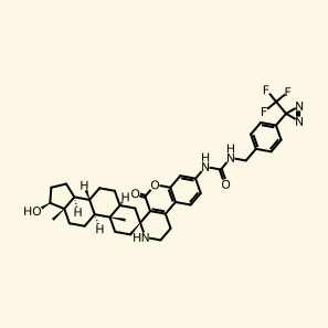 C[C@]12CC[C@]3(C[C@@H]1CC[C@@H]1[C@@H]2CC[C@]2(C)[C@@H](O)CC[C@@H]12)NCCc1c3c(=O)oc2cc(NC(=O)NCc3ccc(C4(C(F)(F)F)N=N4)cc3)ccc12